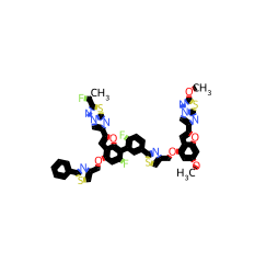 COc1cc(OCc2csc(-c3ccc(F)c(-c4c(F)cc(OCc5csc(-c6ccccc6)n5)c5cc(-c6cn7nc([C@H](C)F)sc7n6)oc45)c3)n2)c2cc(-c3cn4nc(OC)sc4n3)oc2c1